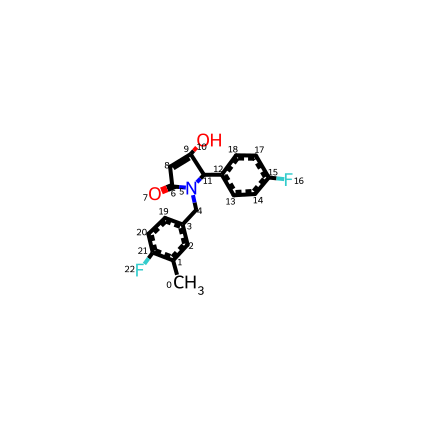 Cc1cc(CN2C(=O)C=C(O)C2c2ccc(F)cc2)ccc1F